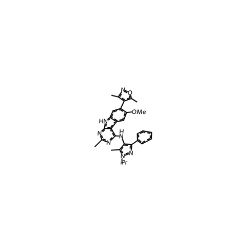 COc1cc2c(cc1-c1c(C)noc1C)[nH]c1nc(C)nc(Nc3c(-c4ccccc4)nn(C(C)C)c3C)c12